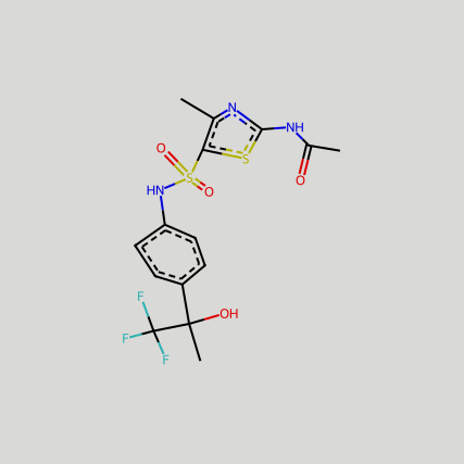 CC(=O)Nc1nc(C)c(S(=O)(=O)Nc2ccc(C(C)(O)C(F)(F)F)cc2)s1